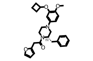 COc1ccc(N2CCN(C(=O)Cc3ccco3)[C@@H](Cc3ccccc3)C2)cc1OC1CCC1